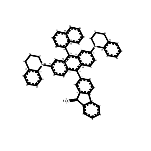 C=C1c2ccccc2-c2ccc(-c3c4ccc(N5CCCc6ccccc65)cc4c(-c4cccc5ccccc45)c4cc(N5CCCc6ccccc65)ccc34)cc21